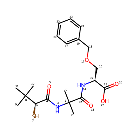 CC(C)(NC(=O)[C@@H](S)C(C)(C)C)C(=O)N[C@@H](COCc1ccccc1)C(=O)O